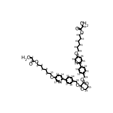 C=CC(=O)OCCCCCCOc1ccc(-c2ccc(CO[C@@H]3OCCO[C@H]3OCc3ccc(-c4ccc(OCCCCCCOC(=O)C=C)cn4)cc3)cc2)nc1